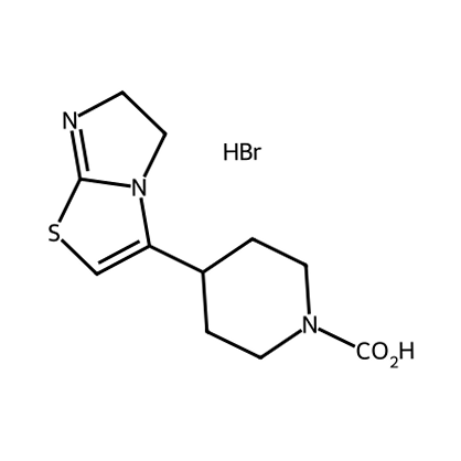 Br.O=C(O)N1CCC(C2=CSC3=NCCN23)CC1